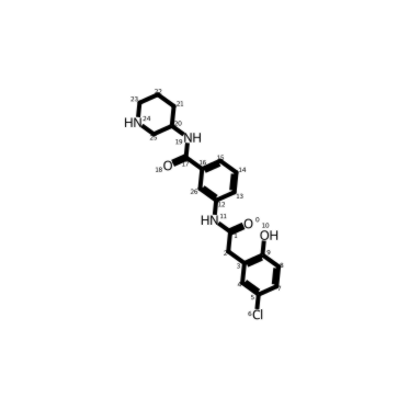 O=C(Cc1cc(Cl)ccc1O)Nc1cccc(C(=O)NC2CCCNC2)c1